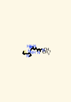 CN(C)Cc1cncc(-c2cnc3[nH]nc(-c4nc5c(-c6cccs6)nccc5[nH]4)c3c2)c1